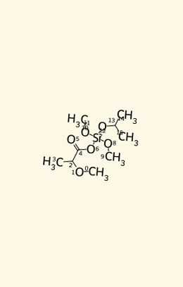 COC(C)C(=O)O[Si](OC)(OC)OC(C)C